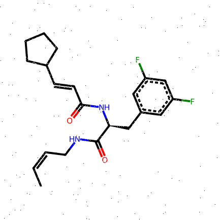 C/C=C\CNC(=O)[C@H](Cc1cc(F)cc(F)c1)NC(=O)/C=C/C1CCCC1